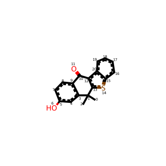 CC1(C)c2cc(O)ccc2C(=O)c2c1sc1ccccc21